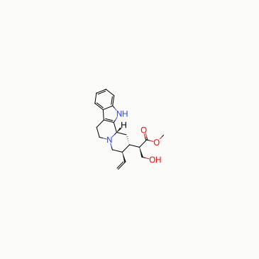 C=C[C@H]1CN2CCc3c([nH]c4ccccc34)[C@@H]2C[C@@H]1[C@H](CO)C(=O)OC